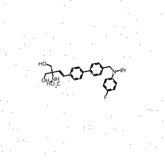 CC(C)N(Cc1ccc(-c2ccc(C=CC(CO)(CO)NC(=O)O)cc2)cc1)c1ccc(F)cc1